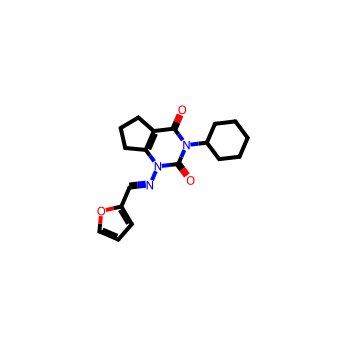 O=c1c2c(n(N=Cc3ccco3)c(=O)n1C1CCCCC1)CCC2